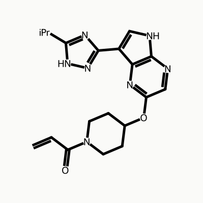 C=CC(=O)N1CCC(Oc2cnc3[nH]cc(-c4n[nH]c(C(C)C)n4)c3n2)CC1